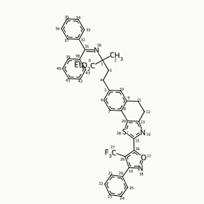 CCOC(=O)C(C)(CCc1ccc2c(c1)CCc1nc(-c3onc(-c4ccccc4)c3C(F)(F)F)sc1-2)N=C(c1ccccc1)c1ccccc1